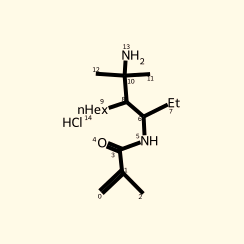 C=C(C)C(=O)NC(CC)C(CCCCCC)C(C)(C)N.Cl